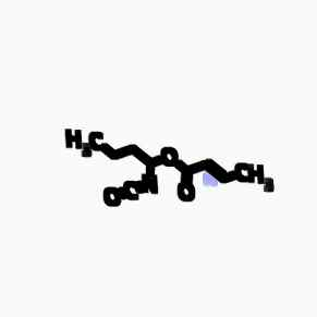 C/C=C/C(=O)OC(CCC)N=C=O